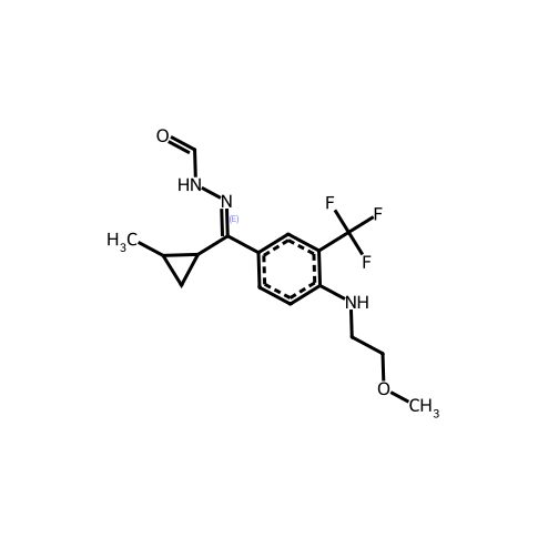 COCCNc1ccc(/C(=N/NC=O)C2CC2C)cc1C(F)(F)F